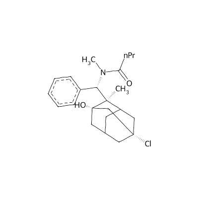 CCCC(=O)N(C)[C@@H](c1ccccc1)[C@@]1(C)C2CC3C[C@](Cl)(C2)C[C@@]1(O)C3